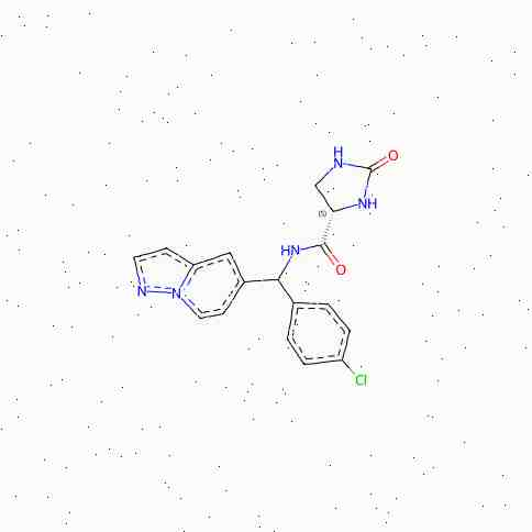 O=C1NC[C@@H](C(=O)NC(c2ccc(Cl)cc2)c2ccn3nccc3c2)N1